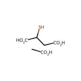 CC(=O)O.O=C(O)CC(S)C(=O)O